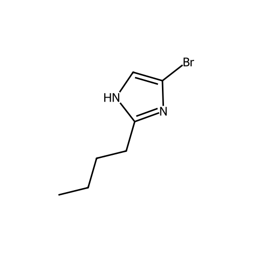 CCCCc1nc(Br)c[nH]1